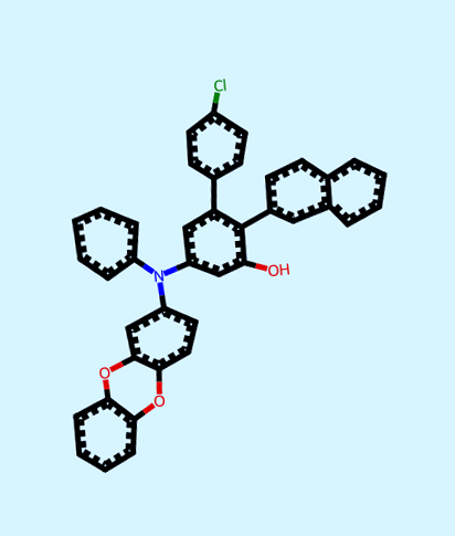 Oc1cc(N(c2ccccc2)c2ccc3c(c2)Oc2ccccc2O3)cc(-c2ccc(Cl)cc2)c1-c1ccc2ccccc2c1